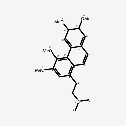 COc1cc(CCN(C)C)c2ccc3c(c2c1OC)=CC(OC)C(OC)C=3